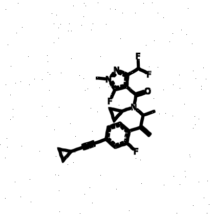 C=C(c1ccc(C#CC2CC2)cc1F)C(C)N(C(=O)c1c(C(F)F)nn(C)c1F)C1CC1